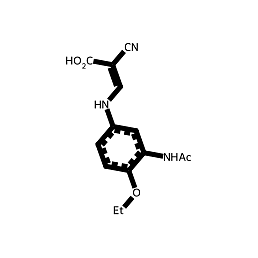 CCOc1ccc(NC=C(C#N)C(=O)O)cc1NC(C)=O